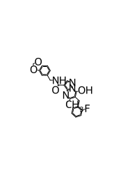 Cc1nc2c(C(=O)NCc3ccc4c(c3)OCO4)cnn2c(O)c1Cc1ccccc1F